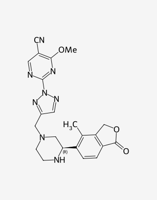 COc1nc(-n2ncc(CN3CCN[C@H](c4ccc5c(c4C)COC5=O)C3)n2)ncc1C#N